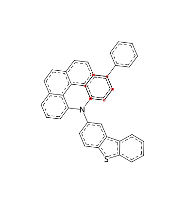 c1ccc(-c2ccc(N(c3ccc4sc5ccccc5c4c3)c3cccc4ccc5ccc6ccccc6c5c34)cc2)cc1